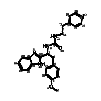 COc1ccc(CC(NC(=O)NCCc2ccncc2)c2nc3ccccc3[nH]2)cc1